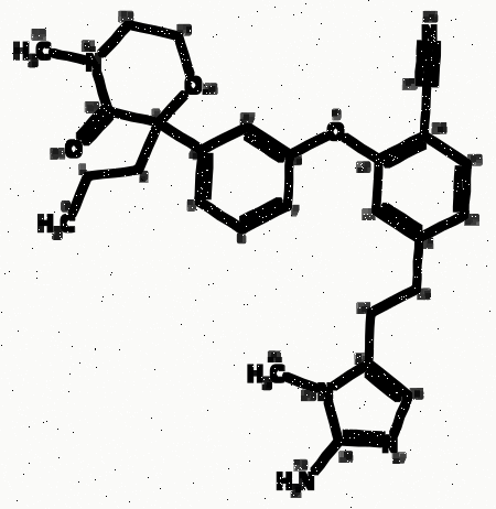 CCCC1(c2cccc(Oc3cc(CCc4cnc(N)n4C)ccc3C#N)c2)OCCN(C)C1=O